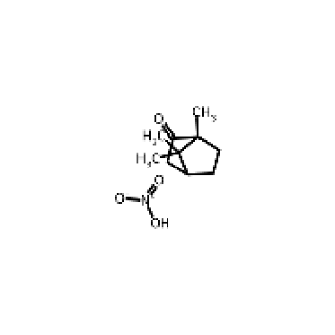 CC12CCC(CC1=O)C2(C)C.O=[N+]([O-])O